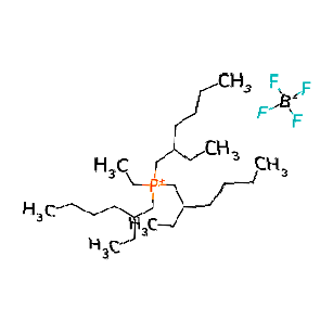 CCCCC(CC)C[P+](CC)(CC(CC)CCCC)CC(CC)CCCC.F[B-](F)(F)F